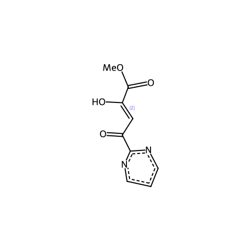 COC(=O)/C(O)=C/C(=O)c1ncccn1